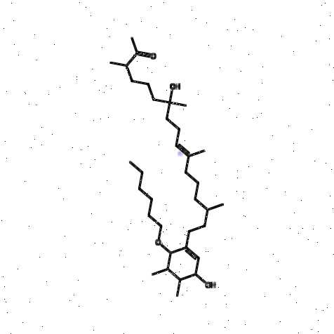 CCCCCCOC1C(CCC(C)CCC/C(C)=C/CCC(C)(O)CCCC(C)C(C)=O)=CC(O)C(C)C1C